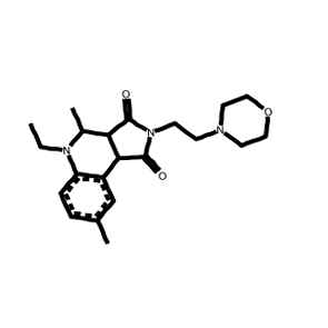 CCN1c2ccc(C)cc2C2C(=O)N(CCN3CCOCC3)C(=O)C2C1C